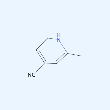 CC1=CC(C#N)=CCN1